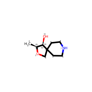 C[C@@H]1OCC2(CCNCC2)[C@@H]1O